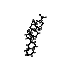 CN(C)[C@H]1CCC2[C@@H](CCC3[C@@H]2CC[C@]2(C)C(c4ccc5ccncc5c4)=CC[C@@H]32)C1